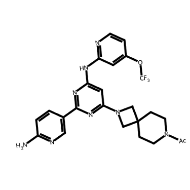 CC(=O)N1CCC2(CC1)CN(c1cc(Nc3cc(OC(F)(F)F)ccn3)nc(-c3ccc(N)nc3)n1)C2